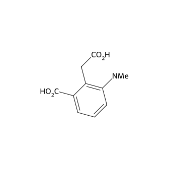 CNc1cccc(C(=O)O)c1CC(=O)O